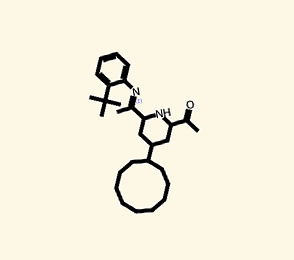 CC(=O)C1CC(C2CCCCCCCCC2)CC(/C(C)=N/c2ccccc2C(C)(C)C)N1